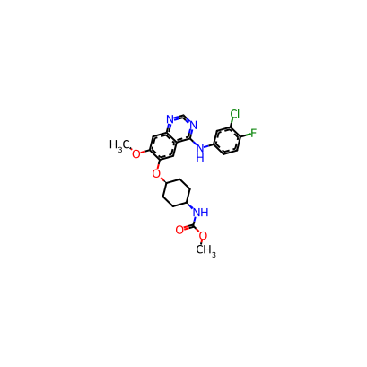 COC(=O)N[C@H]1CC[C@@H](Oc2cc3c(Nc4ccc(F)c(Cl)c4)ncnc3cc2OC)CC1